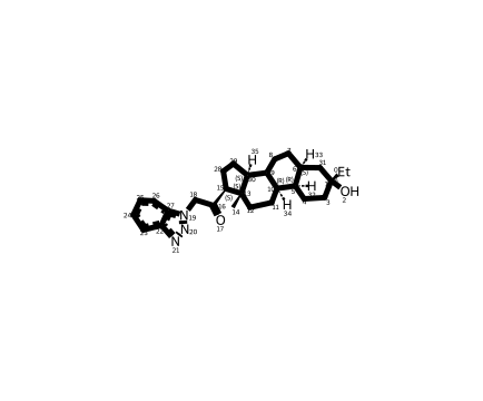 CC[C@@]1(O)CC[C@@H]2[C@@H](CCC3[C@@H]2CC[C@]2(C)[C@@H](C(=O)Cn4nnc5ccccc54)CC[C@@H]32)C1